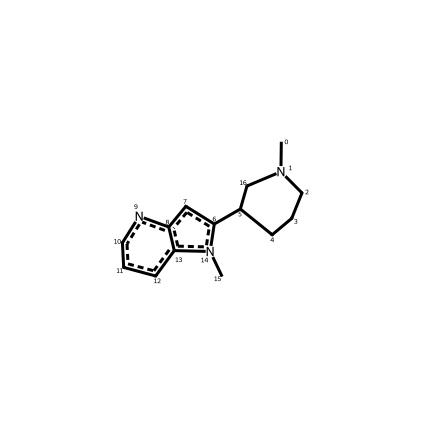 CN1CCCC(c2cc3ncccc3n2C)C1